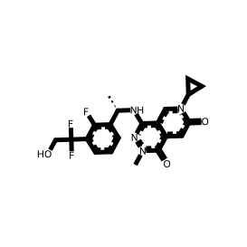 C[C@H](Nc1nn(C)c(=O)c2cc(=O)n(C3CC3)cc12)c1cccc(C(F)(F)CO)c1F